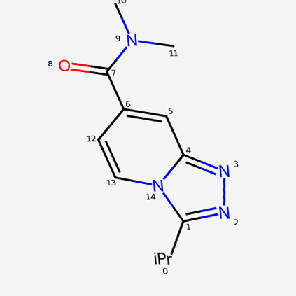 CC(C)c1nnc2cc(C(=O)N(C)C)ccn12